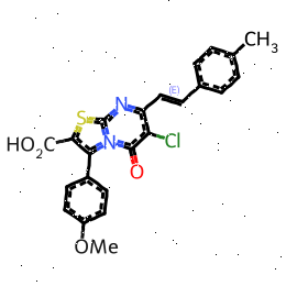 COc1ccc(-c2c(C(=O)O)sc3nc(/C=C/c4ccc(C)cc4)c(Cl)c(=O)n23)cc1